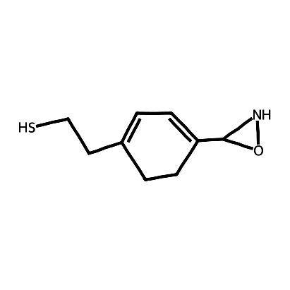 SCCC1=CC=C(C2NO2)CC1